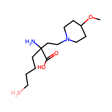 BCCCCC(N)(CCN1CCC(OC)CC1)C(=O)O